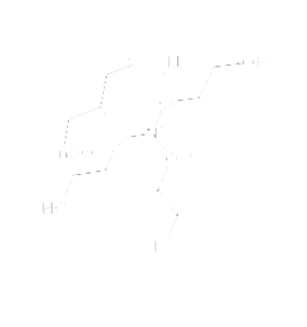 CCCCCCCCCCCCCC(=O)O.OCCON(OCCO)OCCO